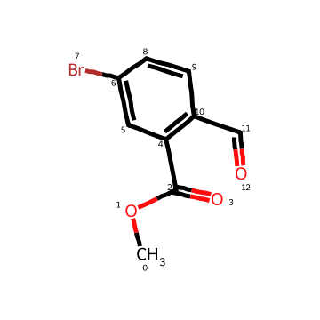 COC(=O)c1cc(Br)ccc1C=O